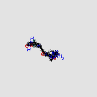 CC(C)n1nc(-c2noc(C3CC3)c2-c2ccc(C3CCN(C(=O)CCCCCCCN4CCC(c5cc(F)c(NC6CCC(=O)NC6=O)cc5F)CC4)CC3)cn2)c2c(N)ncnc21